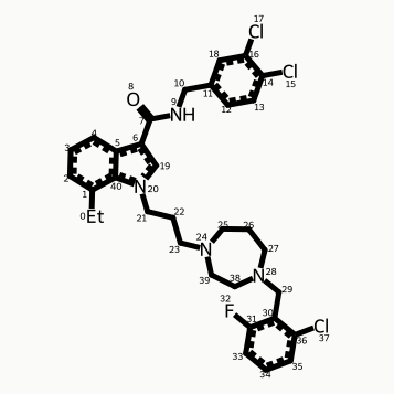 CCc1cccc2c(C(=O)NCc3ccc(Cl)c(Cl)c3)cn(CCCN3CCCN(Cc4c(F)cccc4Cl)CC3)c12